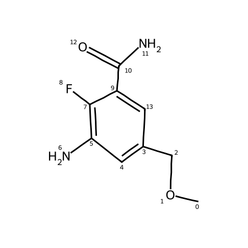 COCc1cc(N)c(F)c(C(N)=O)c1